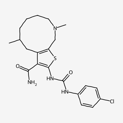 CC1CCCCN(C)Cc2sc(NC(=O)Nc3ccc(Cl)cc3)c(C(N)=O)c2C1